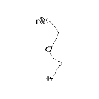 CCCCOC[C](C)C